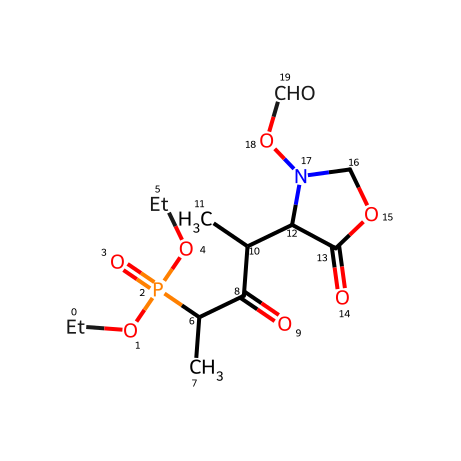 CCOP(=O)(OCC)C(C)C(=O)C(C)C1C(=O)OCN1OC=O